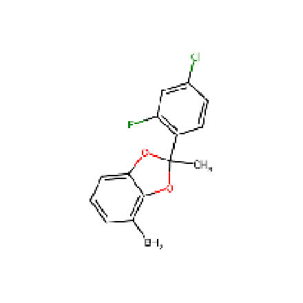 Bc1cccc2c1OC(C)(c1ccc(Cl)cc1F)O2